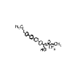 C=C(CCC)C(=O)OCC(CCO)C1CCC(C2CCC(c3ccc(-c4ccc(CCCCC)cc4)cc3)CC2)CC1